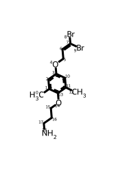 Cc1cc(OCC=C(Br)Br)cc(C)c1OCCCN